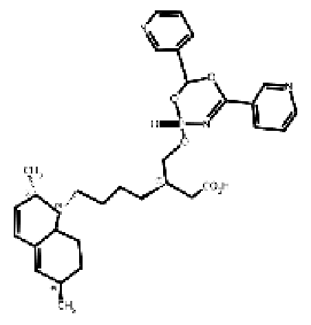 C[C@H]1C=C2C=C[C@H](C)[C@H](CCCC[C@@H](COP3(=O)N=C(c4cccnc4)OC(c4cccnc4)O3)CC(=O)O)C2CC1